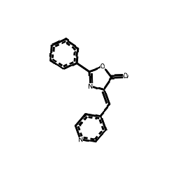 O=C1OC(c2ccccc2)=NC1=Cc1ccncc1